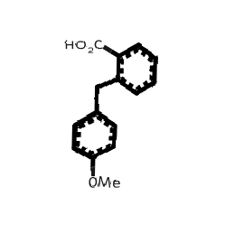 COc1ccc(Cc2ccccc2C(=O)O)cc1